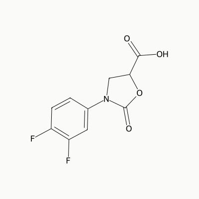 O=C(O)C1CN(c2ccc(F)c(F)c2)C(=O)O1